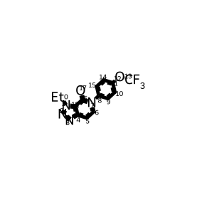 CCn1nnc2ccn(-c3ccc(OC(F)(F)F)cc3)c(=O)c21